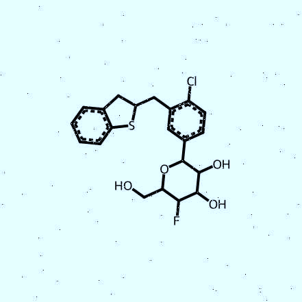 OCC1OC(c2ccc(Cl)c(CC3Cc4ccccc4S3)c2)C(O)C(O)C1F